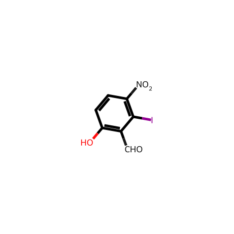 O=Cc1c(O)ccc([N+](=O)[O-])c1I